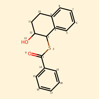 O=C(SC1c2ccccc2CCC1O)c1ccccc1